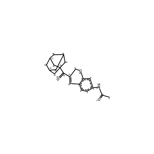 CC(=O)Nc1ccc2c(c1)OCC(C(=O)C13CC4CC(CC(C4)C1)C3)=C2